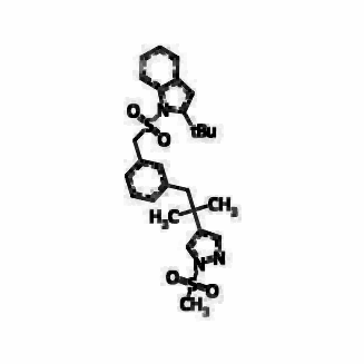 CC(C)(C)c1cc2ccccc2n1S(=O)(=O)Cc1cccc(CC(C)(C)c2cnn(S(C)(=O)=O)c2)c1